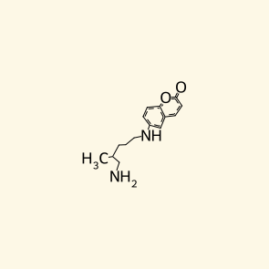 CC(CN)CCCNc1ccc2oc(=O)ccc2c1